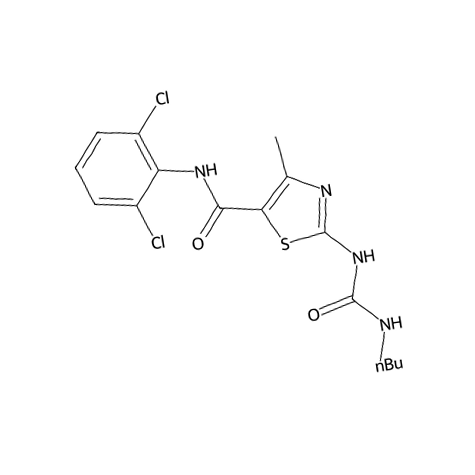 CCCCNC(=O)Nc1nc(C)c(C(=O)Nc2c(Cl)cccc2Cl)s1